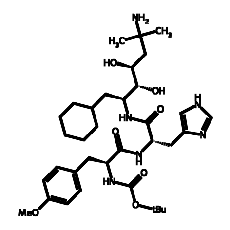 COc1ccc(C[C@H](NC(=O)OC(C)(C)C)C(=O)N[C@@H](Cc2c[nH]cn2)C(=O)N[C@@H](CC2CCCCC2)[C@@H](O)[C@@H](O)CC(C)(C)N)cc1